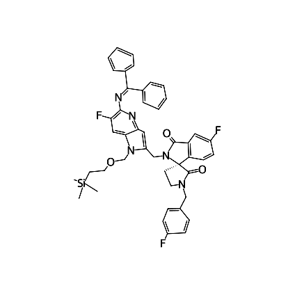 C[Si](C)(C)CCOCn1c(CN2C(=O)c3cc(F)ccc3[C@]23CCN(Cc2ccc(F)cc2)C3=O)cc2nc(N=C(c3ccccc3)c3ccccc3)c(F)cc21